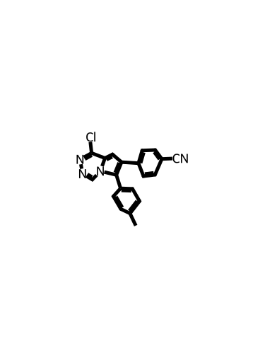 Cc1ccc(-c2c(-c3ccc(C#N)cc3)cc3c(Cl)nncn23)cc1